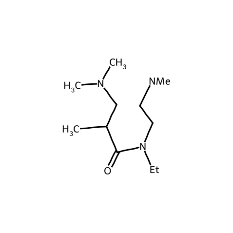 CCN(CCNC)C(=O)C(C)CN(C)C